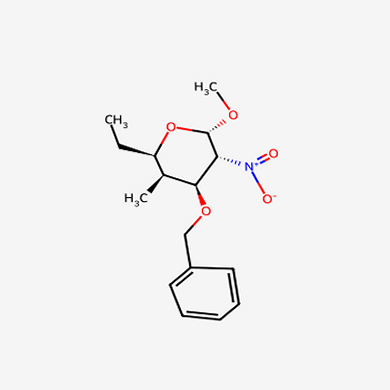 CC[C@H]1O[C@H](OC)[C@H]([N+](=O)[O-])[C@@H](OCc2ccccc2)[C@H]1C